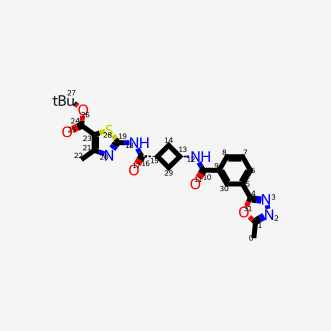 Cc1nnc(-c2cccc(C(=O)N[C@H]3C[C@@H](C(=O)Nc4nc(C)c(C(=O)OC(C)(C)C)s4)C3)c2)o1